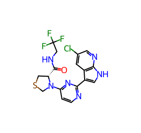 O=C(NCC(F)(F)F)[C@H]1CSCN1c1ccnc(-c2c[nH]c3ncc(Cl)cc23)n1